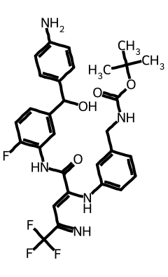 CC(C)(C)OC(=O)NCc1cccc(N/C(=C\C(=N)C(F)(F)F)C(=O)Nc2cc(C(O)c3ccc(N)cc3)ccc2F)c1